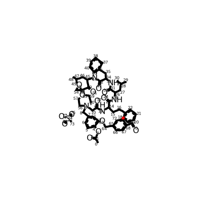 CC(=O)Oc1ccc(C[N+]2(CC(=O)NC(CCc3ccccc3)C(=O)NC(CC(C)C)C(=O)NC(Cc3ccccc3)C(=O)NC(CC(C)C)C(=O)[C@@]3(C)CO3)CCOCC2)cc1OCc1ccc(C=O)cc1.CS(=O)(=O)[O-]